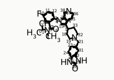 CC(C)N(C)C(=O)c1cc(F)ccc1-n1cc(C2CCN(Cc3ccc4[nH]c(=O)[nH]c4c3)CC2)c2ccncc21